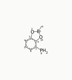 CB1Oc2cccc(P)c2O1